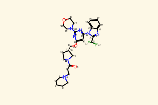 O=C(CCN1CCCCC1)N1CC[C@H](COc2cc(-n3c(C(F)F)nc4ccccc43)nc(N3CCOCC3)n2)C1